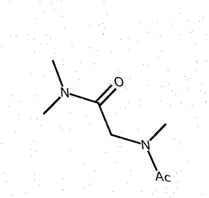 CC(=O)N(C)CC(=O)N(C)C